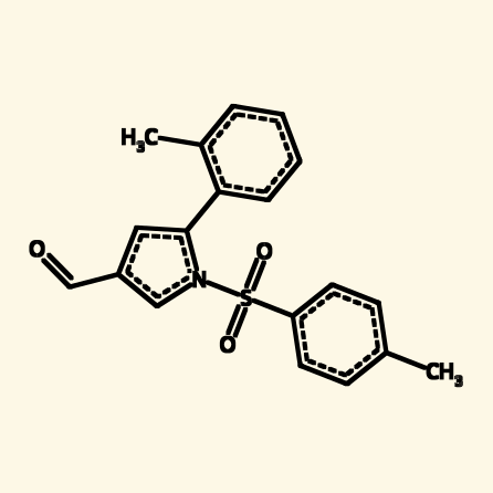 Cc1ccc(S(=O)(=O)n2cc(C=O)cc2-c2ccccc2C)cc1